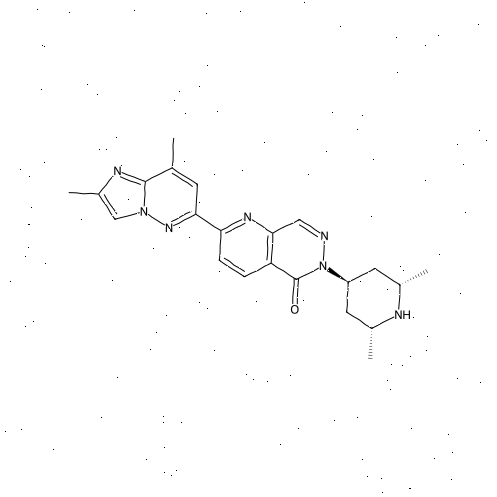 Cc1cn2nc(-c3ccc4c(=O)n([C@@H]5C[C@@H](C)N[C@@H](C)C5)ncc4n3)cc(C)c2n1